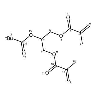 C=C(C)C(=O)OCC(COC(=O)C(=C)C)OC(=O)C(C)(C)C